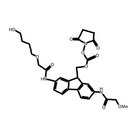 COCC(=O)Nc1ccc2c(c1)C(COC(=O)ON1C(=O)CCC1=O)c1cc(NC(=O)COCCCCO)ccc1-2